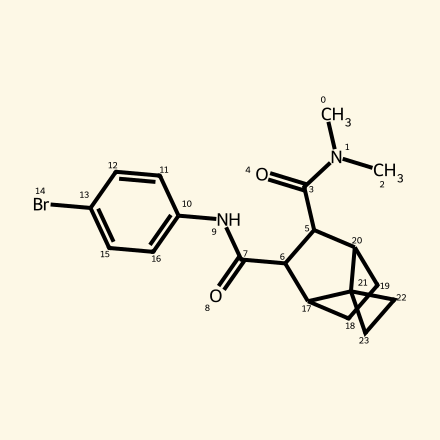 CN(C)C(=O)C1C(C(=O)Nc2ccc(Br)cc2)C2CCC1C21CC1